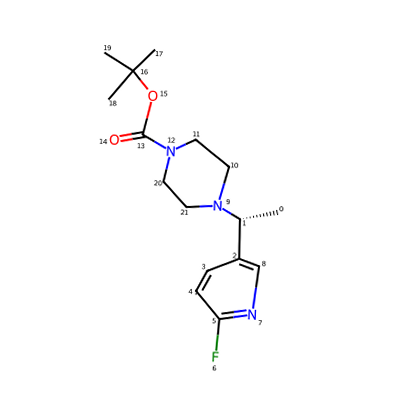 C[C@H](c1c[c]c(F)nc1)N1CCN(C(=O)OC(C)(C)C)CC1